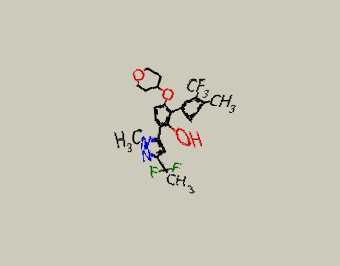 Cc1ccc(-c2c(OC3CCOCC3)ccc(-c3cc(C(C)(F)F)nn3C)c2O)cc1C(F)(F)F